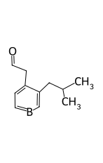 CC(C)Cc1cbccc1CC=O